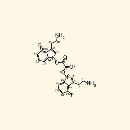 NCCc1cn(OC(=O)C(=O)On2cc(CCN)c3c(F)cccc32)c2cccc(F)c12